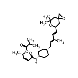 CC(/C=C/[C@@H]1C[C@]2(CO2)CC(C)(C)O1)=C\C[C@H]1CC[C@@H](NC(=O)/C=C\[C@H](C)OC(=O)C(C)C)CC1